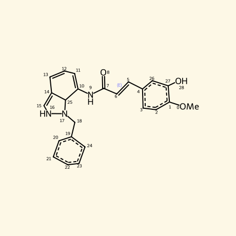 COc1ccc(/C=C/C(=O)NC2=CC=CC3=CNN(Cc4ccccc4)C32)cc1O